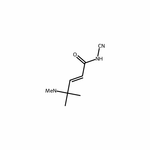 CNC(C)(C)C=CC(=O)NC#N